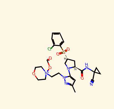 Cc1cc(N2C[C@H](S(=O)(=O)c3ccccc3Cl)C[C@H]2C(=O)NC2(C#N)CC2)n(CC[N+]2(OC=O)CCOCC2)n1